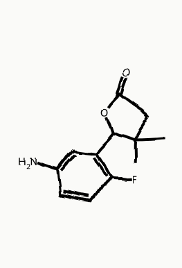 CC1(C)CC(=O)OC1c1cc(N)ccc1F